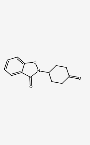 O=C1CCC(n2oc3ccccc3c2=O)CC1